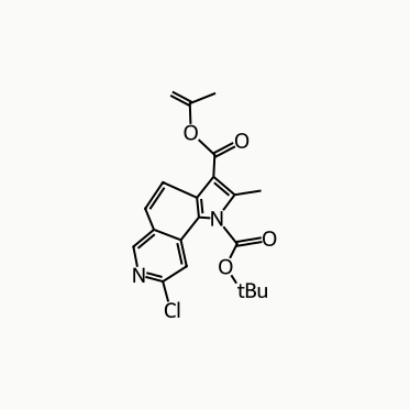 C=C(C)OC(=O)c1c(C)n(C(=O)OC(C)(C)C)c2c1ccc1cnc(Cl)cc12